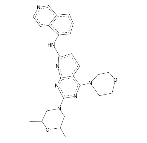 CC1CN(c2nc(N3CCOCC3)c3ccc(Nc4cccc5cnccc45)nc3n2)CC(C)O1